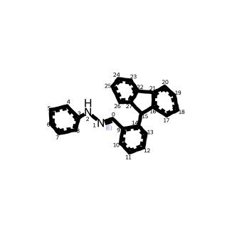 C(=N\Nc1ccccc1)/c1ccccc1C1c2ccccc2-c2ccccc21